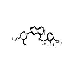 Cc1cccc([C@@H](C)Nc2nncc3ccc(N4CCN(C)C(CF)C4)cc23)c1C